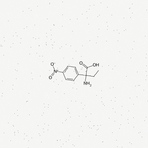 CCC(N)(C(=O)O)c1ccc([N+](=O)[O-])cc1